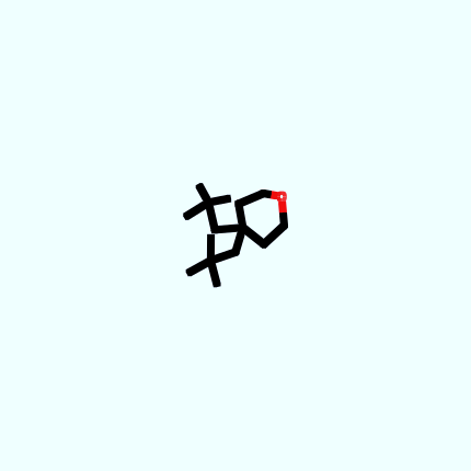 CC(C)(C)CC1(CC(C)(C)C)CCOCC1